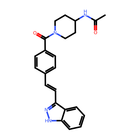 CC(=O)NC1CCN(C(=O)c2ccc(C=Cc3n[nH]c4ccccc34)cc2)CC1